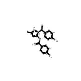 Cc1cc(OC(=O)c2ccc(F)cc2)n(C(C)c2ccc(F)cc2)n1